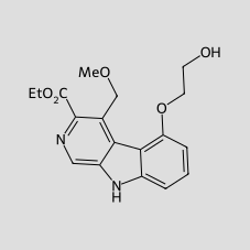 CCOC(=O)c1ncc2[nH]c3cccc(OCCO)c3c2c1COC